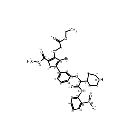 CCOC(=O)COc1c(C(=O)OC)sc(-c2cccc(OC(C(=O)Nc3ccccc3[N+](=O)[O-])C3CCNCC3)c2)c1Br